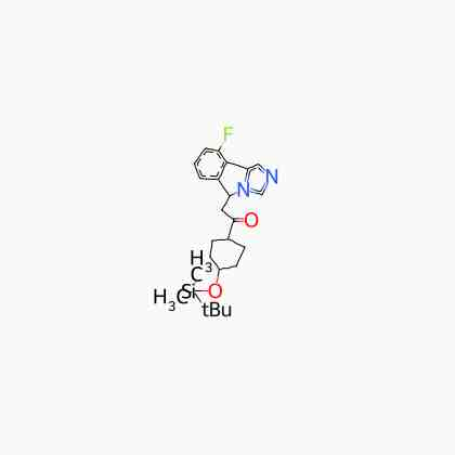 CC(C)(C)[Si](C)(C)OC1CCC(C(=O)CC2c3cccc(F)c3-c3cncn32)CC1